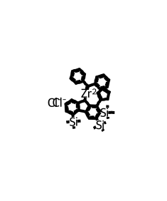 C[Si](C)(C)c1cccc2c1-c1cc([Si](C)(C)C)c([Si](C)(C)C)c(C3=CC=CC3)c1[CH]2[Zr+2]=[C](c1ccccc1)c1ccccc1.[Cl-].[Cl-]